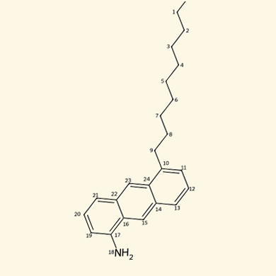 CCCCCCCCCCc1cccc2cc3c(N)cccc3cc12